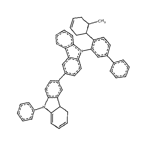 CC1CC=CCC1c1ccc(-c2ccccc2)cc1-n1c2ccccc2c2cc(-c3ccc4c(c3)C3CC=CC=C3N4c3ccccc3)ccc21